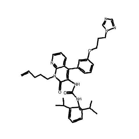 C=CCCCn1c(=O)c(NC(=O)Nc2c(C(C)C)cccc2C(C)C)c(-c2cccc(OCCCn3cncn3)c2)c2cccnc21